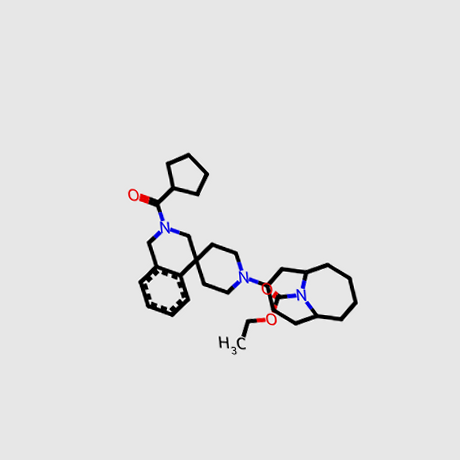 CCOC(=O)N1C2CCCCC1CC(N1CCC3(CC1)CN(C(=O)C1CCCC1)Cc1ccccc13)CC2